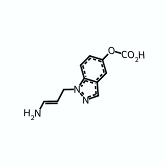 NC=CCn1ncc2cc(OC(=O)O)ccc21